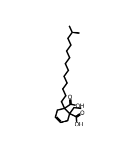 CCC1(C(=O)O)CC=CCC1(CCCCCCCCCCCC(C)C)C(=O)O